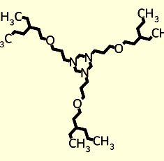 CCCC(CC)CCOCCCN1CN(CCCOCCC(CC)CCC)CN(CCCOCCC(CC)CCC)C1